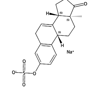 C[C@]12CC[C@H]3C(=CCc4cc(OS(=O)(=O)[O-])ccc43)[C@@H]1CCC2=O.[Na+]